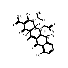 CCCC(=O)C[C@H]1[C@@H]2C(=C(O)[C@]3(O)C(=O)C(C(N)=O)=C(O)[C@H](N(C)C)[C@@H]13)C(=O)c1c(O)cccc1[C@@H]2C